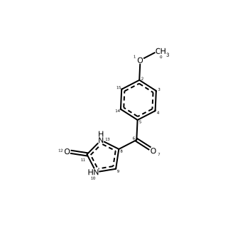 COc1ccc(C(=O)c2c[nH]c(=O)[nH]2)cc1